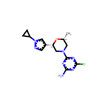 C[C@@H]1CN(c2nc(N)nc(Cl)n2)C[C@H](c2cnn(C3CC3)c2)O1